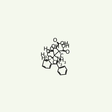 CC(C(=O)O)[C@](C)(C(=O)O)[C@](N=C(c1ccccc1)c1ccccc1)(C(=O)O)C(C)(C)C